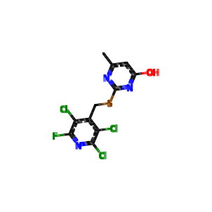 Cc1cc(O)nc(SCc2c(Cl)c(F)nc(Cl)c2Cl)n1